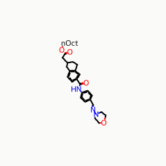 CCCCCCCCOC(=O)CC1CCc2cc(C(=O)Nc3ccc(/C=N/N4CCOCC4)cc3)ccc2C1